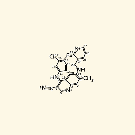 Cc1cc2ncc(C#N)c(Nc3ccc(F)c(Cl)c3)c2cc1NCc1cccnc1